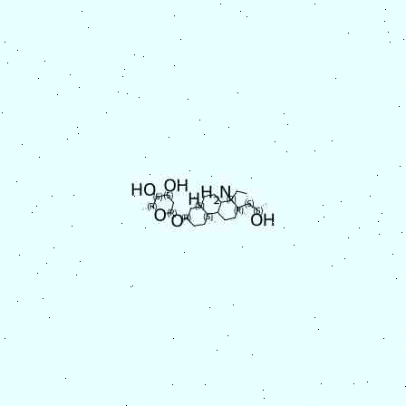 C[C@H](O)[C@H]1CC[C@@]2(N)C3CC[C@H]4C[C@H](O[C@H]5C[C@H](O)[C@H](O)[C@@H](C)O5)CC[C@]4(C)C3CC[C@]12C